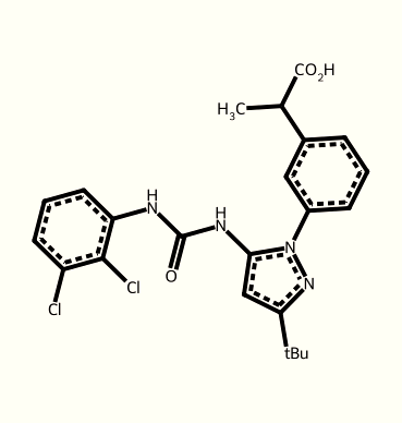 CC(C(=O)O)c1cccc(-n2nc(C(C)(C)C)cc2NC(=O)Nc2cccc(Cl)c2Cl)c1